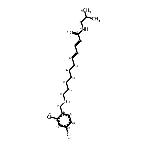 CC(C)CNC(=O)C=CC=CCCCCCCOCc1ccc(Cl)cc1Cl